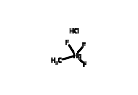 Cl.[CH3][Hg]([F])([F])[F]